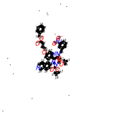 CC(C)(C)OC(=O)N(C(=O)OC(C)(C)C)N(c1ccc2cnccc2c1)C(C(=O)NCc1cccc([N+](=O)[O-])c1)c1ccc(OCCCC(=O)OCc2ccccc2)cc1